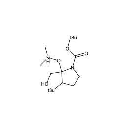 C[SiH](C)OC1(CO)C(C(C)(C)C)CCN1C(=O)OC(C)(C)C